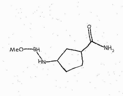 COBNC1CCC(C(N)=O)C1